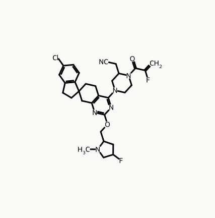 C=C(F)C(=O)N1CCN(c2nc(OCC3CC(F)CN3C)nc3c2CCC2(CCc4cc(Cl)ccc42)C3)CC1CC#N